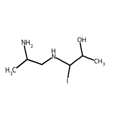 CC(N)CNC(I)C(C)O